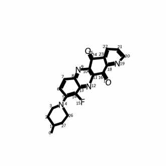 CC1CCN(c2ccc3nc4c(nc3c2F)C(=O)c2ncccc2C4=O)CC1